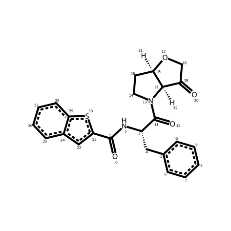 O=C(N[C@@H](Cc1ccccc1)C(=O)N1CC[C@H]2OCC(=O)[C@H]21)c1cc2ccccc2s1